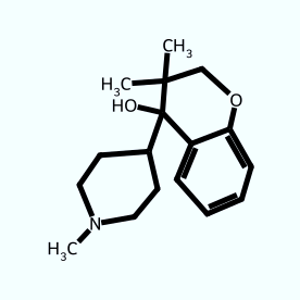 CN1CCC(C2(O)c3ccccc3OCC2(C)C)CC1